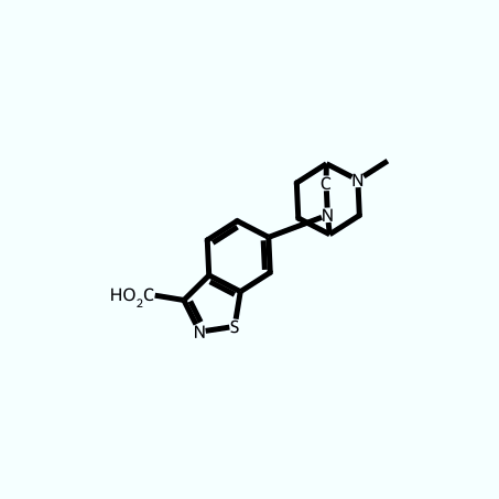 CN1CC2CCC1CN2c1ccc2c(C(=O)O)nsc2c1